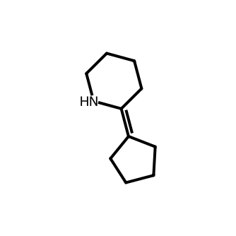 C1CCC(=C2CCCC2)NC1